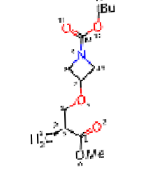 COC(=O)[C@@H](C)COC1CN(C(=O)OC(C)(C)C)C1